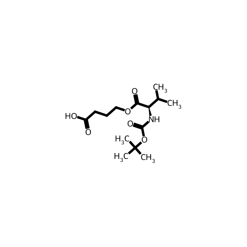 CC(C)[C@@H](NC(=O)OC(C)(C)C)C(=O)OCCCC(=O)O